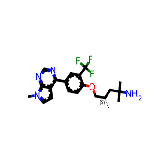 C[C@H](COc1ccc(-c2ncnc3c2ccn3C)cc1C(F)(F)F)CC(C)(C)N